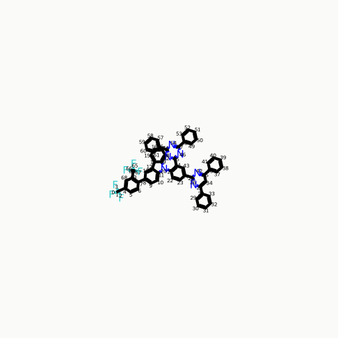 FC(F)(F)c1ccc(-c2ccc3c(c2)c2ccccc2n3-c2ccc(-c3nc(-c4ccccc4)cc(-c4ccccc4)n3)cc2-c2nc(-c3ccccc3)nc(-c3ccccc3)n2)c(C(F)(F)F)c1